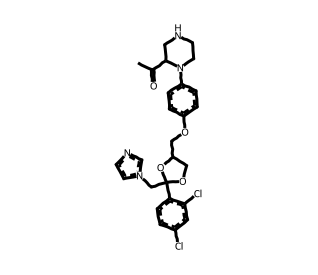 CC(=O)C1CNCCN1c1ccc(OCC2COC(Cn3ccnc3)(c3ccc(Cl)cc3Cl)O2)cc1